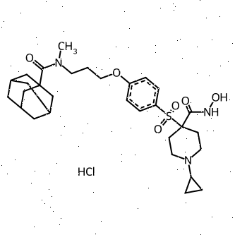 CN(CCCOc1ccc(S(=O)(=O)C2(C(=O)NO)CCN(C3CC3)CC2)cc1)C(=O)C12CC3CC(CC(C3)C1)C2.Cl